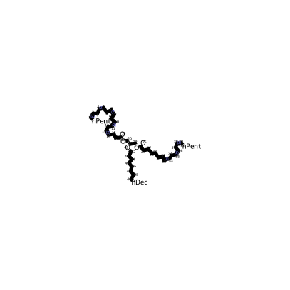 CCCCC/C=C\C/C=C\C/C=C\C/C=C\C/C=C\CCC(=O)OC[C@H](COC(=O)CCCCCC/C=C\C/C=C\C/C=C\CCCCC)OCCCCCCCCCCCCCCCCCC